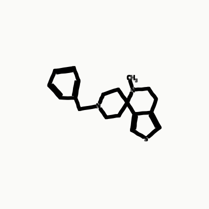 CN1CCc2cscc2C12CCN(Cc1ccccc1)CC2